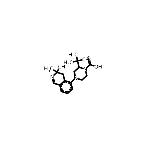 CC1(C)Cc2c(cccc2N2CCN(C(=O)O)C(C(C)(C)C)C2)C=N1